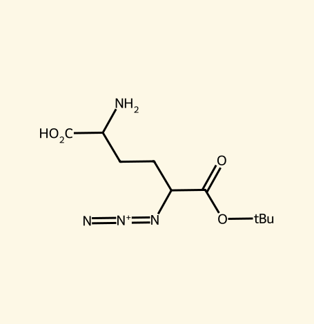 CC(C)(C)OC(=O)C(CCC(N)C(=O)O)N=[N+]=[N-]